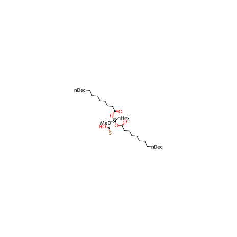 CCCCCCCCCCCCCCCCCC(=O)O[Si](CCCCCC)(OC)OC(=O)CCCCCCCCCCCCCCCCC.OC=S